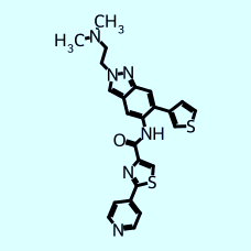 CN(C)CCn1cc2cc(NC(=O)c3csc(-c4ccncc4)n3)c(-c3ccsc3)cc2n1